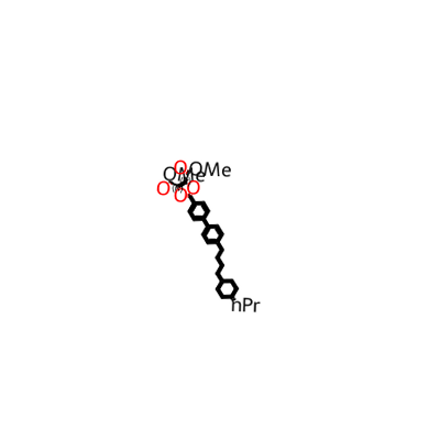 CCCC1CCC(CCCCc2ccc(-c3ccc(C4O[C@@H](C(=O)OC)[C@H](C(=O)OC)O4)cc3)cc2)CC1